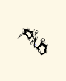 O=S(=O)(/C=C/c1ncccc1Cl)c1cccc(F)c1